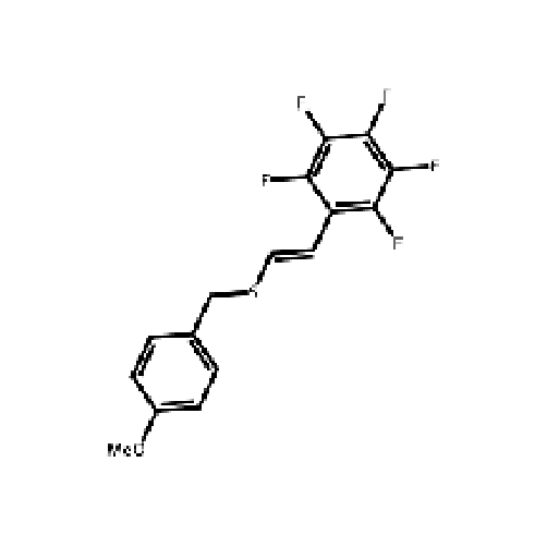 COc1ccc(CSC=Cc2c(F)c(F)c(F)c(F)c2F)cc1